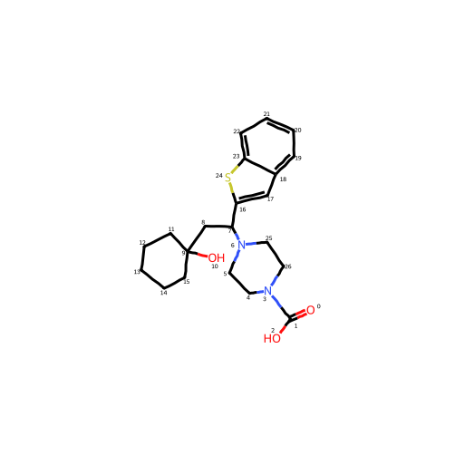 O=C(O)N1CCN(C(CC2(O)CCCCC2)c2cc3ccccc3s2)CC1